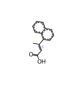 C/C(=C\C(=O)O)c1cccc2ccccc12